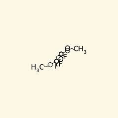 CCCC1CCC(c2cc3c(c(F)c2F)Oc2c(ccc(C4CCC(CCC)OC4)c2F)C3)CC1